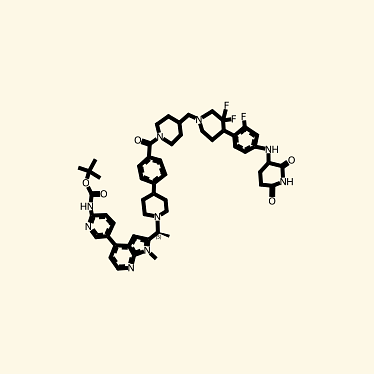 C[C@@H](c1cc2c(-c3ccc(NC(=O)OC(C)(C)C)nc3)ccnc2n1C)N1CCC(c2ccc(C(=O)N3CCC(CN4CCC(c5ccc(NC6CCC(=O)NC6=O)cc5F)C(F)(F)C4)CC3)cc2)CC1